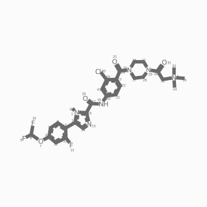 Cn1c(-c2ccc(OC(F)F)cc2F)cnc1C(=O)Nc1ccc(C(=O)N2CCN(C(=O)C[N+](C)(C)C)CC2)c(Cl)c1